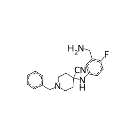 N#CC1(Nc2ccc(F)c(CN)c2)CCN(Cc2ccccc2)CC1